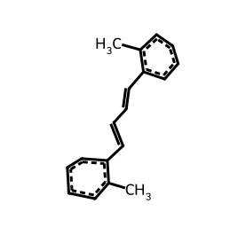 Cc1ccccc1C=C/C=C/c1ccccc1C